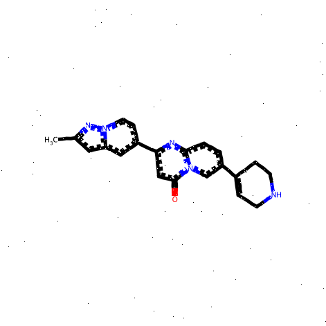 Cc1cc2cc(-c3cc(=O)n4cc(C5=CCNCC5)ccc4n3)ccn2n1